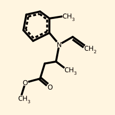 C=CN(c1ccccc1C)C(C)CC(=O)OC